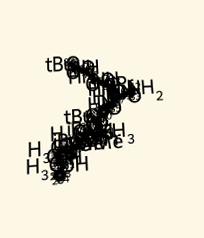 CC[C@H](C)[C@@H]([C@@H](CC(=O)N1CCC[C@H]1[C@H](OC)[C@@H](C)C(=O)N[C@H](C)[C@@H](O)c1ccccc1)OC)N(C)C(=O)[C@@H](NC(=O)[C@H](C(C)C)N(C)C(=O)OC(C(=O)OC(C)(C)C)c1ccc(NC(=O)[C@H](CCCNC(N)=O)NC(=O)[C@@H](NC(=O)CNC(=O)CNC(=O)CNC(=O)OC(C)(C)C)C(C)C)cc1)C(C)C